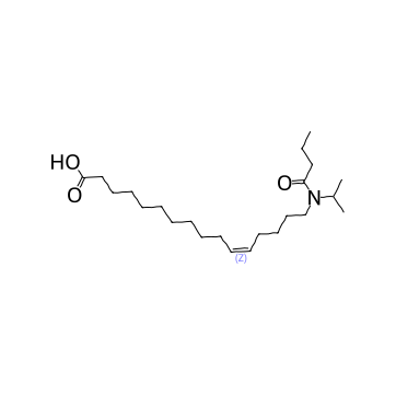 CCCC(=O)N(CCCC/C=C\CCCCCCCCCC(=O)O)C(C)C